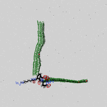 Cl.Cl.Cl.Cl.Cl.Cl.Cl.Cl.Cl.Cl.Cl.Cl.Cl.Cl.Cl.Cl.Cl.Cl.Cl.Cl.Cl.Cl.Cl.Cl.Cl.Cl.Cl.Cl.Cl.Cl.Cl.Cl.Cl.Cl.Cl.Cl.Cl.Cl.Cl.Cl.Cl.Cl.Cl.Cl.Cl.Cl.Cl.Cl.Cl.Cl.Cl.Cl.Cl.Cl.Cl.Cl.Cl.Cl.Cl.Cl.Cl.Cl.Cl.Cl.Cl.Cl.Cl.Cl.Cl.Cl.Cl.Cl.Cl.NCCCCCCC(=O)NCc1cccc2c1C(=O)N(C1CCC(=O)NC1=O)C2=O